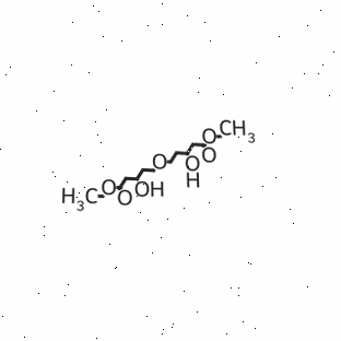 CCOC(=O)CC(O)CCOCCC(O)CC(=O)OCC